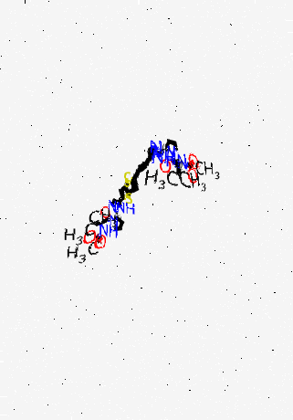 COC(=O)NC(C(=O)N1CCC[C@H]1c1ncc(-c2cc3sc(C#Cc4cnc([C@@H]5CCCN5C(=O)[C@@H](NC(=O)OC)C(C)C)[nH]4)cc3s2)[nH]1)C(C)C